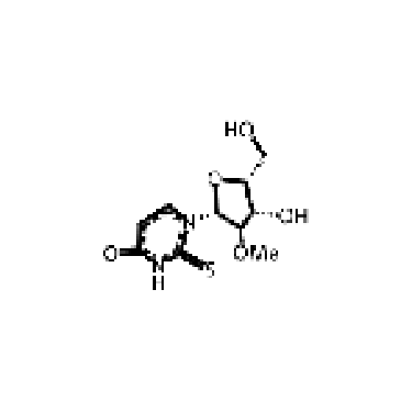 CO[C@@H]1[C@@H](O)[C@@H](CO)O[C@H]1n1ccc(=O)[nH]c1=S